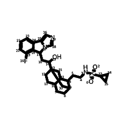 O=S(=O)(NCCC1C2CCC3CCC(C(O)CC4c5c(F)cccc5-c5cncn54)(C2)CC31)C1CC1